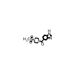 CS(=O)(=O)N1CCN(C(=O)c2ccc3[nH]cnc3c2)CC1